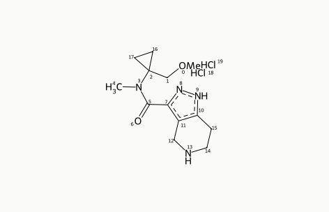 COCC1(N(C)C(=O)c2n[nH]c3c2CNCC3)CC1.Cl.Cl